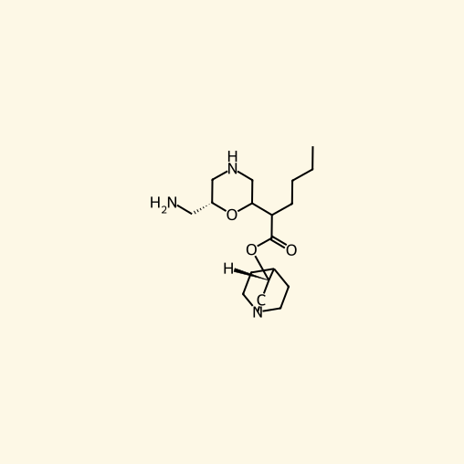 CCCCC(C(=O)O[C@H]1CN2CCC1CC2)C1CNC[C@@H](CN)O1